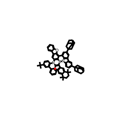 CC(C)(C)c1ccc(N2c3cc4c(oc5ccccc54)c4c3B(c3c2sc2cc5c(cc32)C(C)(C)CCC5(C)C)n2c3ccc(C56CC7CC(CC(C7)C5)C6)cc3c3cc(C56CC7CC(CC(C7)C5)C6)cc-4c32)c(-c2ccccc2)c1